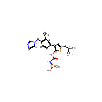 Cc1cc(-c2cc(CC(C)C)sc2OC(=O)N=S(=O)=O)ccc1Cn1ccnc1